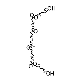 O=C(CSCSCC[S+]([O-])CSCSCSC(=O)CSCSCC(=O)OCSCCSCO)OCSCCSCO